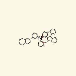 C1=CCc2ccc(-c3cccc(N(c4ccccc4)c4ccc5c(c4)C46C7=C(C=CCC=C7)C7CCC=C(c8cccc-5c84)C76)c3)cc2C=C1